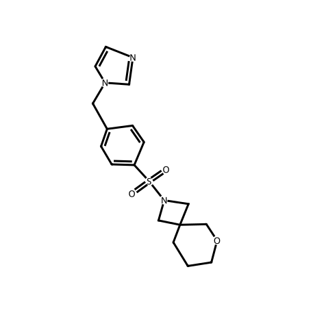 O=S(=O)(c1ccc(Cn2ccnc2)cc1)N1CC2(CCCOC2)C1